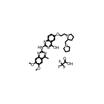 COc1cc2nc(Nc3nc(O)c4cc(OCCN5CCCC5CN5CCCC5)ccc4n3)nc(C)c2cc1OC.O=C(O)C(F)(F)F